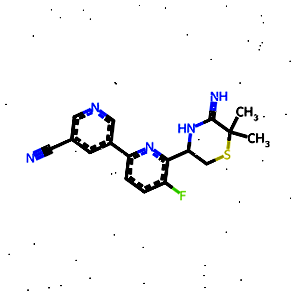 CC1(C)SCC(c2nc(-c3cncc(C#N)c3)ccc2F)NC1=N